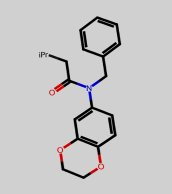 CC(C)CC(=O)N(Cc1ccccc1)c1ccc2c(c1)OCCO2